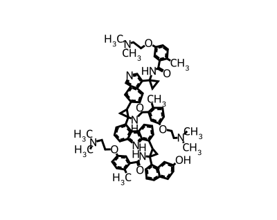 Cc1ccc(OCCN(C)C)cc1C(=O)NC1(c2cncc3cc(C4CC4(NC(=O)c4cc(OCCN(C)C)ccc4C)c4cccc5[nH]c6c(C7CC7(NC(=O)c7cc(OCCN(C)C)ccc7C)c7cccc8ccc(O)cc78)cccc6c45)ccc23)CC1